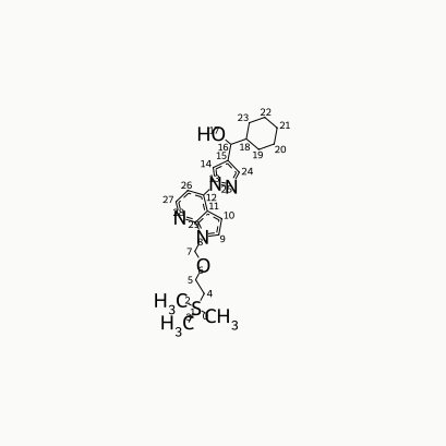 CS(C)(C)CCOCn1ccc2c(-n3cc(C(O)C4CCCCC4)cn3)ccnc21